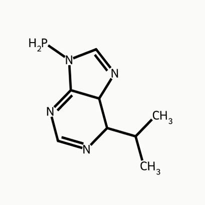 CC(C)C1N=CN=C2C1N=CN2P